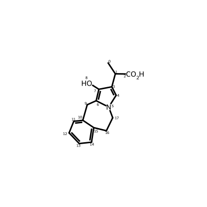 CC(C(=O)O)c1cn2c(c1O)Cc1ccccc1CC2